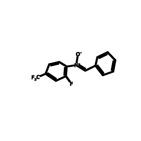 [O-][N+](=Cc1ccccc1)c1ccc(C(F)(F)F)cc1F